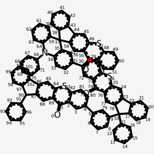 O=c1c2cc(-c3cccc(C4(c5ccccc5)c5ccccc5-c5cc6sc7ccc(-c8ccc9c(c8)C8(c%10ccccc%10-c%10cc%11sc%12ccccc%12c(=O)c%11cc%108)c8ccccc8N9c8ccccc8)cc7c(=O)c6cc54)c3)ccc2sc2cc3c(cc12)C(c1ccccc1)c1ccccc1-3